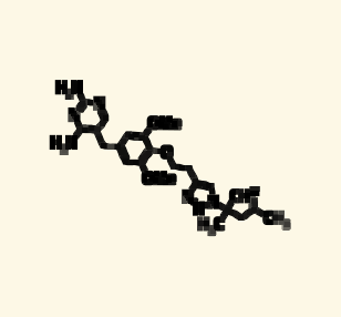 COc1cc(Cc2cnc(N)nc2N)cc(OC)c1OCCc1cn(C(C)(C)CC(C)F)nn1